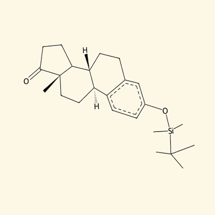 CC(C)(C)[Si](C)(C)Oc1ccc2c(c1)CC[C@H]1C3CCC(=O)[C@@]3(C)CC[C@H]21